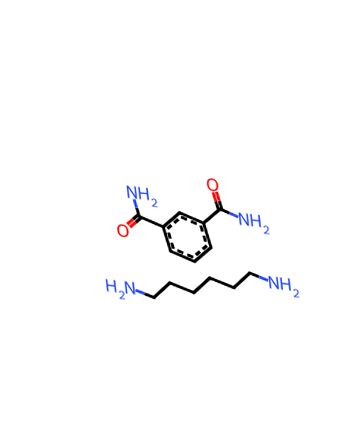 NC(=O)c1cccc(C(N)=O)c1.NCCCCCCN